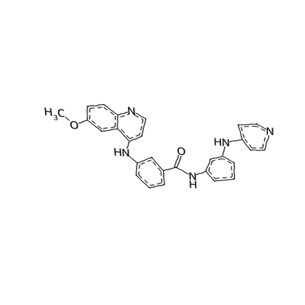 COc1ccc2nccc(Nc3cccc(C(=O)Nc4cccc(Nc5ccncc5)c4)c3)c2c1